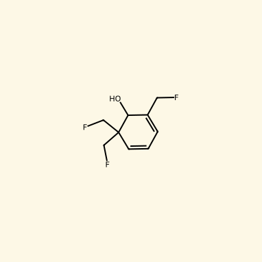 OC1C(CF)=CC=CC1(CF)CF